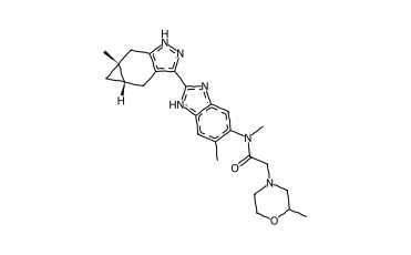 Cc1cc2[nH]c(-c3n[nH]c4c3C[C@@H]3C[C@]3(C)C4)nc2cc1N(C)C(=O)CN1CCOC(C)C1